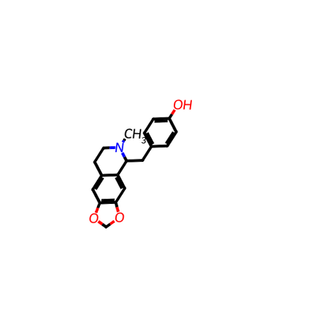 CN1CCc2cc3c(cc2C1Cc1ccc(O)cc1)OCO3